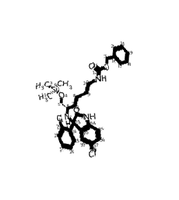 C[Si](C)(C)OC[C@H](CCCCNC(=O)OCc1ccccc1)NC1(c2ccccc2Cl)C(=O)Nc2ccc(Cl)cc21